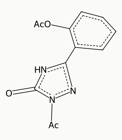 CC(=O)Oc1ccccc1-c1nn(C(C)=O)c(=O)[nH]1